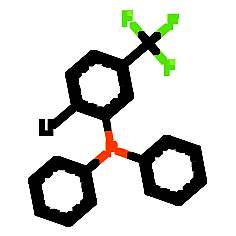 [Li][c]1ccc(C(F)(F)F)cc1P(c1ccccc1)c1ccccc1